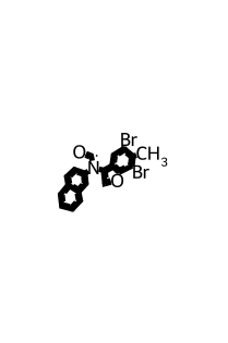 Cc1c(Br)cc2c(N([C]=O)c3ccc4ccccc4c3)coc2c1Br